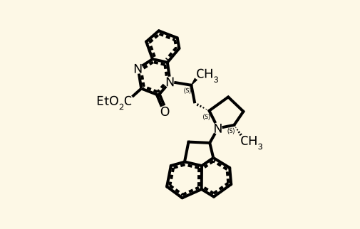 CCOC(=O)c1nc2ccccc2n([C@@H](C)C[C@@H]2CC[C@H](C)N2C2Cc3cccc4cccc2c34)c1=O